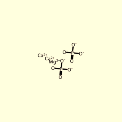 O=P([O-])([O-])[O-].O=P([O-])([O-])[O-].[Ca+2].[Ca+2].[Mg+2]